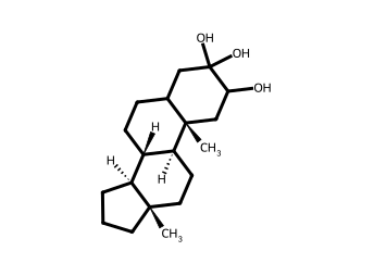 C[C@@]12CCC[C@H]1[C@@H]1CCC3CC(O)(O)C(O)C[C@]3(C)[C@H]1CC2